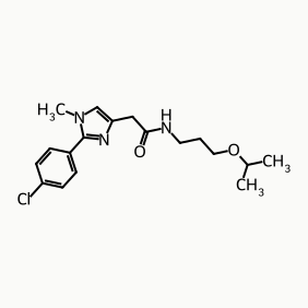 CC(C)OCCCNC(=O)Cc1cn(C)c(-c2ccc(Cl)cc2)n1